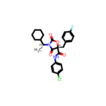 C[C@H](C1CCCCC1)N1C(=O)O[C@](Cc2ccc(F)cc2)(C(=O)Nc2ccc(Cl)cc2)C1=O